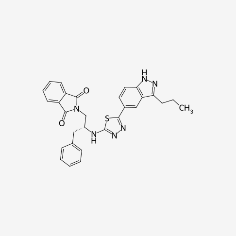 CCCc1n[nH]c2ccc(-c3nnc(N[C@H](Cc4ccccc4)CN4C(=O)c5ccccc5C4=O)s3)cc12